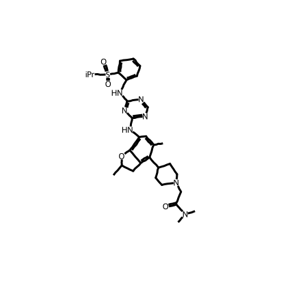 Cc1cc(Nc2ncnc(Nc3ccccc3S(=O)(=O)C(C)C)n2)c2c(c1C1CCN(CC(=O)N(C)C)CC1)CC(C)O2